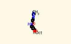 CCCCCCCCOC(=O)CC1CCc2ccc(NC(=O)c3ccc(C=NN4CCN(C)CC4)cc3)cc2C1